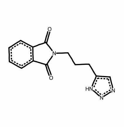 O=C1c2ccccc2C(=O)N1CCCc1cnn[nH]1